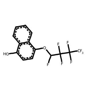 Oc1ccc(OC(F)C(F)(F)C(F)(F)C(F)(F)F)c2ccccc12